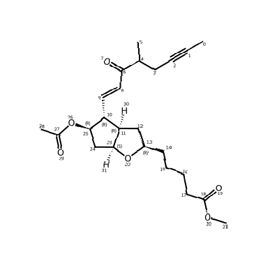 CC#CCC(C)C(=O)C=C[C@@H]1[C@H]2C[C@@H](CCCCC(=O)OC)O[C@H]2C[C@H]1OC(C)=O